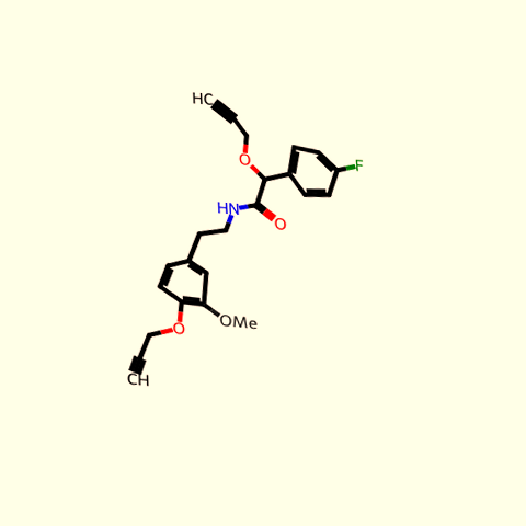 C#CCOc1ccc(CCNC(=O)C(OCC#C)c2ccc(F)cc2)cc1OC